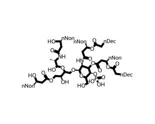 CCCCCCCCCCCC(=O)O[C@H](CCCCCCCCC)CC(=O)N[C@H]1C(OC(=O)C[C@@H](CCCCCCCCC)OC(=O)CCCCCCCCCCC)[C@H](OP(=O)(O)O)C(CO)O[C@H]1OCC(OC(O)[C@H](C)NC(=O)C[C@H](O)CCCCCCCCC)[C@@H](O)COC(=O)C[C@H](O)CCCCCCCCC